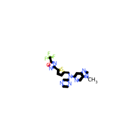 Cn1cnc2cc(N(Cc3ccc(-c4noc(C(F)(F)F)n4)s3)c3cnccn3)ncc21